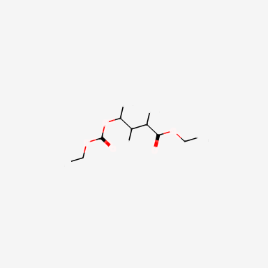 CCOC(=O)OC(C)C(C)C(C)C(=O)OCC